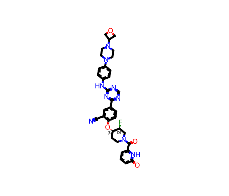 N#Cc1cc(-c2ncnc(Nc3ccc(N4CCN(C5COC5)CC4)cc3)n2)ccc1O[C@H]1CCN(C(=O)c2cccc(=O)[nH]2)C[C@@H]1F